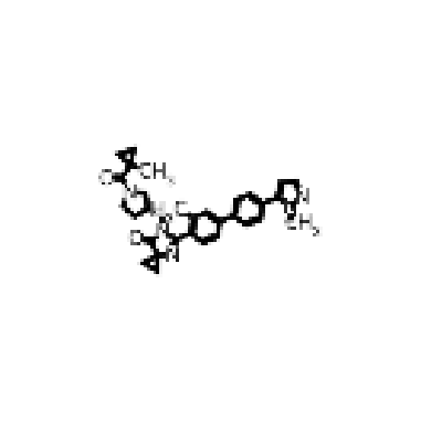 Cc1cc(-c2ccc(-c3ccnn3C)cc2)ccc1C1=NC2(CC2)C(=O)N1C[C@@H]1CCN(C(=O)C2(C)CC2)C1